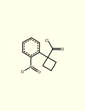 O=C(Cl)C1(c2ccccc2[N+](=O)[O-])CCC1